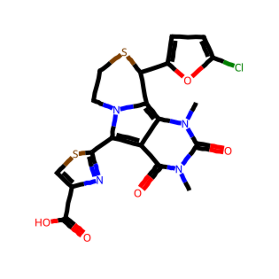 Cn1c(=O)c2c(-c3nc(C(=O)O)cs3)n3c(c2n(C)c1=O)C(c1ccc(Cl)o1)SCC3